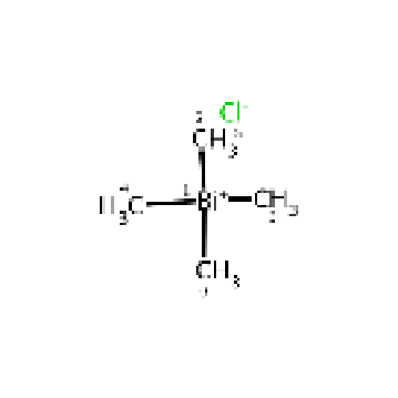 [CH3][Bi+]([CH3])([CH3])[CH3].[Cl-]